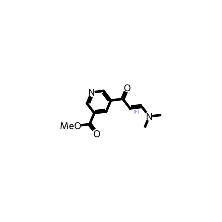 COC(=O)c1cncc(C(=O)/C=C/N(C)C)c1